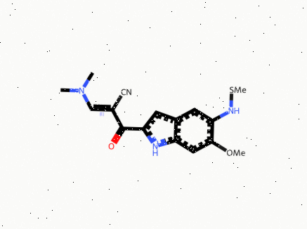 COc1cc2[nH]c(C(=O)/C(C#N)=C/N(C)C)cc2cc1NSC